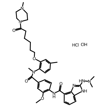 COc1cc(C(=O)N(C)c2ccc(C)cc2OCCCCCC(=O)N2CCN(C)CC2)ccc1NC(=O)c1cccc2[nH]c(NN(C)C)nc12.Cl.Cl